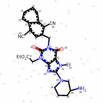 CCOC(=O)Cn1c(=O)n(Cc2cc(C#N)c3ccccc3c2C#N)c(=O)c2c1nc(N1CCCC(N)C1)n2CC